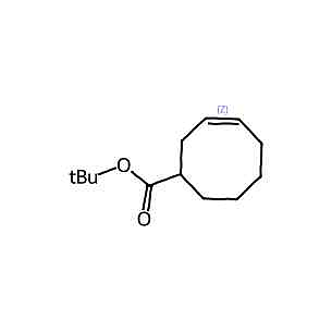 CC(C)(C)OC(=O)C1C/C=C\CCCC1